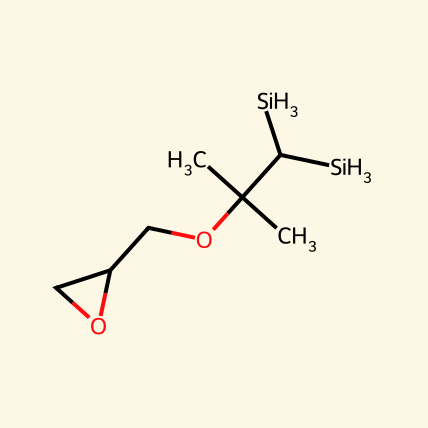 CC(C)(OCC1CO1)C([SiH3])[SiH3]